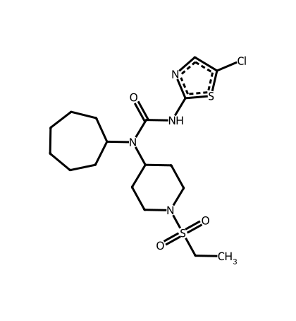 CCS(=O)(=O)N1CCC(N(C(=O)Nc2ncc(Cl)s2)C2CCCCCC2)CC1